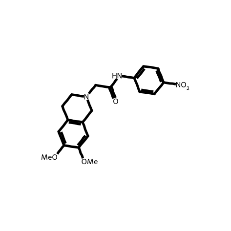 COc1cc2c(cc1OC)CN(CC(=O)Nc1ccc([N+](=O)[O-])cc1)CC2